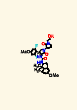 COc1cc(F)c([C@@H]2CN(c3cccn(CCO)c3=O)C(=O)[C@H]2NC(=O)NC2CCc3cc(OC)ccc3C2(C)C)c(F)c1